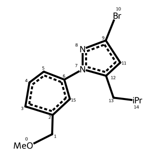 COCc1cccc(-n2nc(Br)cc2CC(C)C)c1